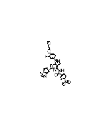 COCCOc1ccc(-n2ncc3c(NC(=O)c4ccc([N+](=O)[O-])s4)nc(-c4ccc5scnc5c4)nc32)cc1F